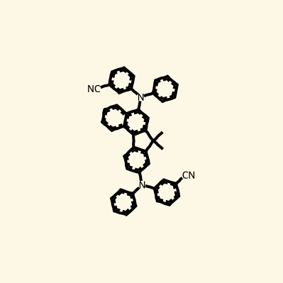 CC1(C)c2cc(N(c3ccccc3)c3cccc(C#N)c3)ccc2-c2c1cc(N(c1ccccc1)c1cccc(C#N)c1)c1ccccc21